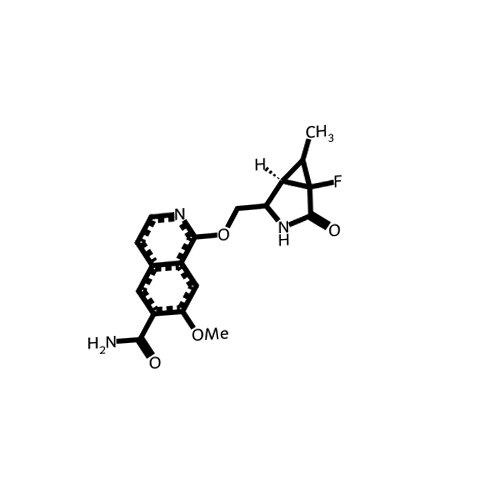 COc1cc2c(OCC3NC(=O)C4(F)C(C)[C@H]34)nccc2cc1C(N)=O